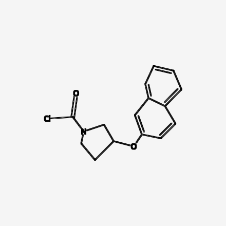 O=C(Cl)N1CCC(Oc2ccc3ccccc3c2)C1